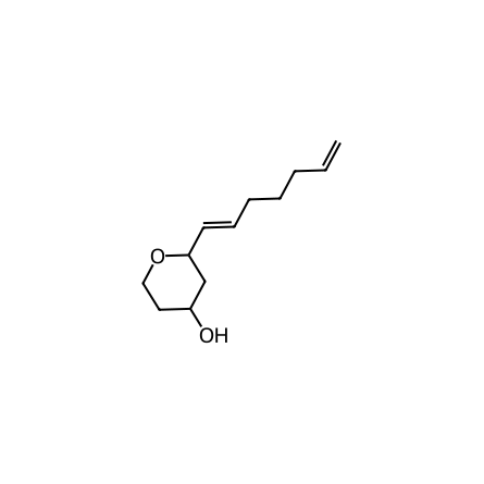 C=CCCCC=CC1CC(O)CCO1